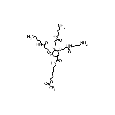 NCCCNC(=O)CCO[C@@H]1[C@H](OCCC(=O)NCCCN)C=C(C(=O)NCCCCCCOC(=O)C(F)(F)F)C[C@H]1OCCC(=O)NCCCN